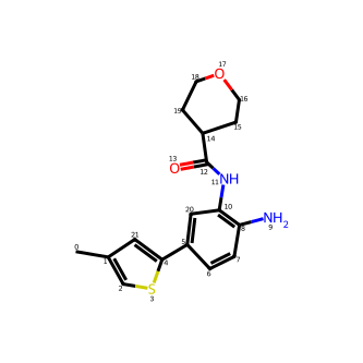 Cc1csc(-c2ccc(N)c(NC(=O)C3CCOCC3)c2)c1